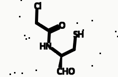 O=C[C@H](CS)NC(=O)CCl